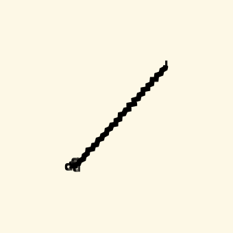 Cl[Si](Cl)(Cl)CCCCCCCCCCCCCCCCCCCCCCCCCCCCCCCCCCCCCCCI